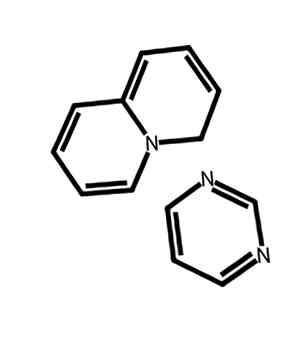 C1=CCN2C=CC=CC2=C1.c1cncnc1